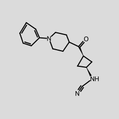 N#CN[C@H]1C[C@@H](C(=O)C2CCN(c3ccccc3)CC2)C1